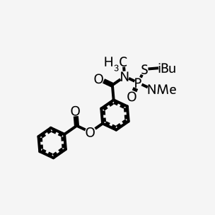 CCC(C)SP(=O)(NC)N(C)C(=O)c1cccc(OC(=O)c2ccccc2)c1